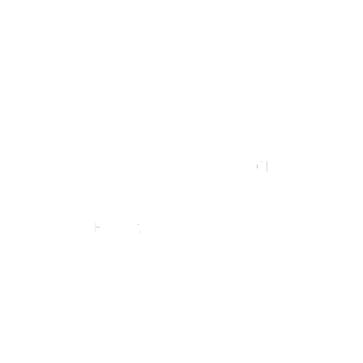 FSc1cccc(Cl)c1